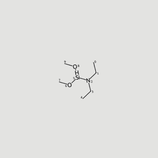 CCN(CC)[SiH](OC)OC